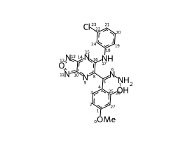 COc1ccc(C(=NN)c2nc3nonc3nc2Nc2cccc(Cl)c2)c(O)c1